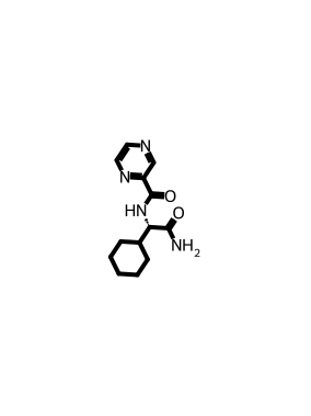 NC(=O)[C@@H](NC(=O)c1cnccn1)C1CCCCC1